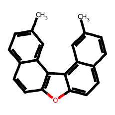 Cc1ccc2ccc3oc4ccc5ccc(C)cc5c4c3c2c1